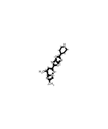 Cc1cn2nc(-c3nc4sc(C5CCNCC5)nc4s3)cc(C)c2n1